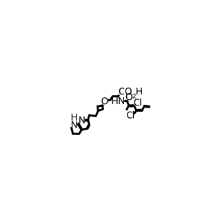 C=C/C=C(Cl)\C(Cl)=C(/C)C(=O)NC(CCOC1CC(CCc2ccc3c(n2)NCCC3)C1)C(=O)O